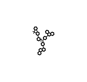 CC1(C)c2ccccc2-c2ccc(-c3cccc(N(c4ccc(-c5cccc6c5ccc5ccccc56)cc4)c4ccc(-c5cc6ccccc6c6ccccc56)cc4)c3)cc21